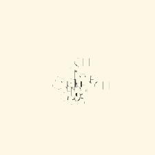 CON1CN(OC)CN(N(C(=O)[N+]2(C)CCOCC2)S(=O)(=O)[O-])C1